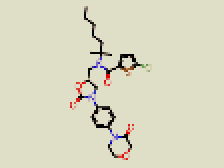 CCCCCC(C)(C)N(C[C@H]1CN(c2ccc(N3CCOCC3=O)cc2)C(=O)O1)C(=O)c1ccc(Cl)s1